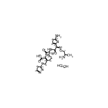 CC(N)CO/N=C(\C(=O)NC1C(=O)N2C(C(=O)O)=C(CSc3nncs3)CS[C@H]12)c1csc(N)n1.Cl.Cl